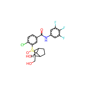 O=C(Nc1cc(F)c(F)c(F)c1)c1ccc(Cl)c([S+]([O-])[C@@H]2C3CCC2[C@@](O)(CO)C3)c1